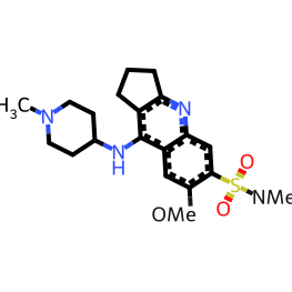 CNS(=O)(=O)c1cc2nc3c(c(NC4CCN(C)CC4)c2cc1OC)CCC3